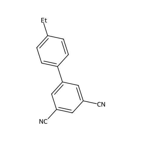 CCc1ccc(-c2cc(C#N)cc(C#N)c2)cc1